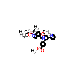 COC(=O)c1ccc([C@@H]2CC(c3ccccn3)CCN2Cc2c(OC)cc(C)c3c2ccn3C(=O)OC(C)(C)C)cc1